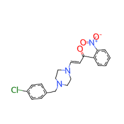 O=C(C=CN1CCN(Cc2ccc(Cl)cc2)CC1)c1ccccc1[N+](=O)[O-]